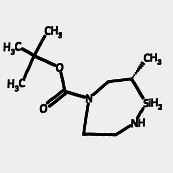 C[C@H]1CN(C(=O)OC(C)(C)C)CCN[SiH2]1